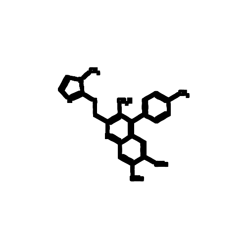 COc1cc2nc(CSc3nccn3C)c(C(=O)O)c(-c3ccc(C)cc3)c2cc1OC